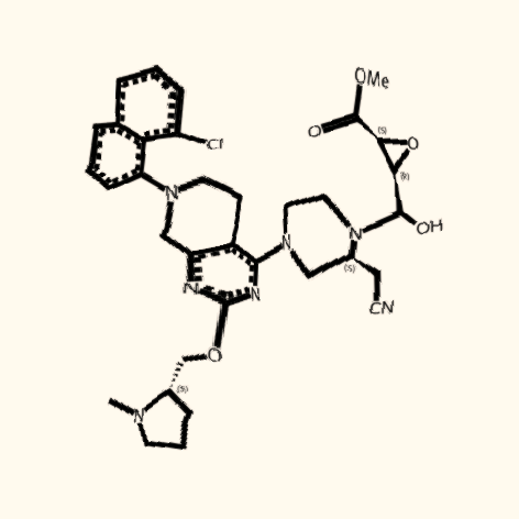 COC(=O)[C@H]1O[C@H]1C(O)N1CCN(c2nc(OC[C@@H]3CCCN3C)nc3c2CCN(c2cccc4cccc(Cl)c24)C3)C[C@@H]1CC#N